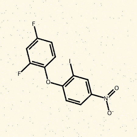 O=[N+]([O-])c1ccc(Oc2ccc(F)cc2F)c(I)c1